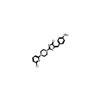 CC(C)(C)c1ccc(C=C2SC(N3CCN(c4cccc(Cl)n4)CC3)=NC2=O)cc1